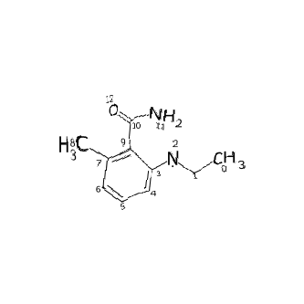 CC[N]c1cccc(C)c1C(N)=O